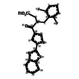 CCOC(=O)CN(Cc1c(F)cccc1F)C(=O)c1cnn(-c2nc3ccccc3s2)c1